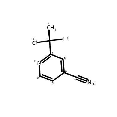 C[C@@](Cl)(I)c1cc(C#N)ccn1